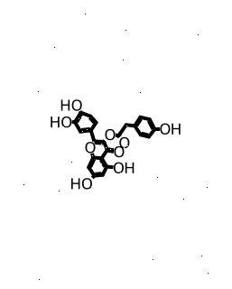 O=C(Cc1ccc(O)cc1)Oc1c(-c2ccc(O)c(O)c2)oc2cc(O)cc(O)c2c1=O